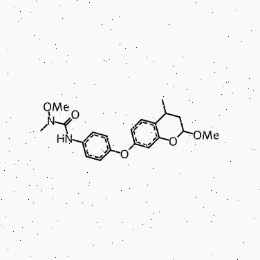 COC1CC(C)c2ccc(Oc3ccc(NC(=O)N(C)OC)cc3)cc2O1